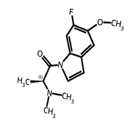 COc1cc2ccn(C(=O)[C@H](C)N(C)C)c2cc1F